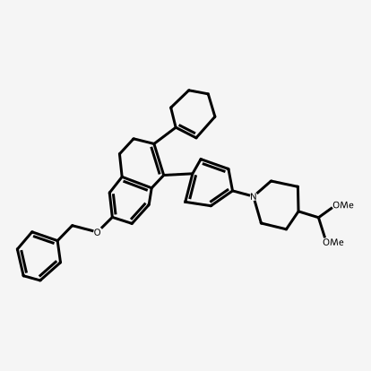 COC(OC)C1CCN(c2ccc(C3=C(C4=CCCCC4)CCc4cc(OCc5ccccc5)ccc43)cc2)CC1